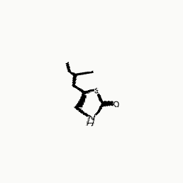 CC(C)Cc1c[nH]c(=O)s1